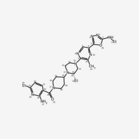 CCNc1nnc(-c2cnc(N3CCN(C4CCN(C(=O)c5ccc(CC)nc5N)CC4)[C@@H](CC)C3)c(C)n2)o1